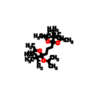 CC(C)O[Si](CCC[Si](OC(C)C)(OC(C)C)C(C)(C)C)(OC(C)C)C(C)(C)C